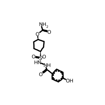 NC(=O)O[C@H]1CC[C@@H](S(=O)(=O)NNC(=O)c2ccc(O)cc2)CC1